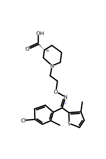 Cc1cc(Cl)ccc1/C(=N\OCCN1CCC[C@@H](C(=O)O)C1)c1sccc1C